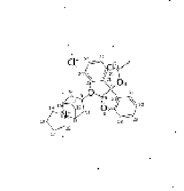 CC(Cl)OC(C(=O)OC1CC2CCC(C1)[N+]21CCCC1)(c1ccccc1)c1ccccc1.[Cl-]